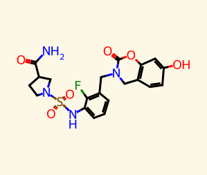 NC(=O)C1CCN(S(=O)(=O)Nc2cccc(CN3Cc4ccc(O)cc4OC3=O)c2F)C1